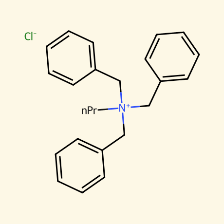 CCC[N+](Cc1ccccc1)(Cc1ccccc1)Cc1ccccc1.[Cl-]